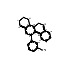 N#Cc1cccc(-c2cc3c(c4c2=c2ccccc2=CC4)CCCC=3)c1